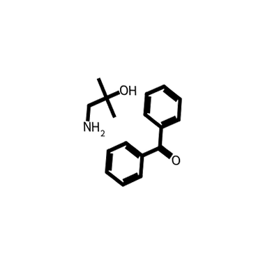 CC(C)(O)CN.O=C(c1ccccc1)c1ccccc1